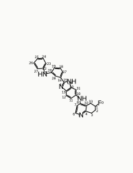 FC1CCc2nccc(Nc3ccc4nc(-c5cccc(Nc6ccccc6)c5)[nH]c4c3)c2C1